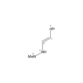 CCC/C=C/NNC